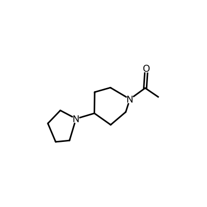 CC(=O)N1CCC(N2CCCC2)CC1